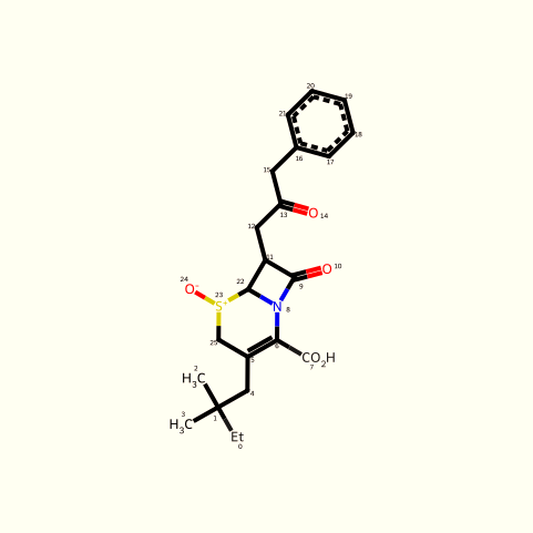 CCC(C)(C)CC1=C(C(=O)O)N2C(=O)C(CC(=O)Cc3ccccc3)C2[S+]([O-])C1